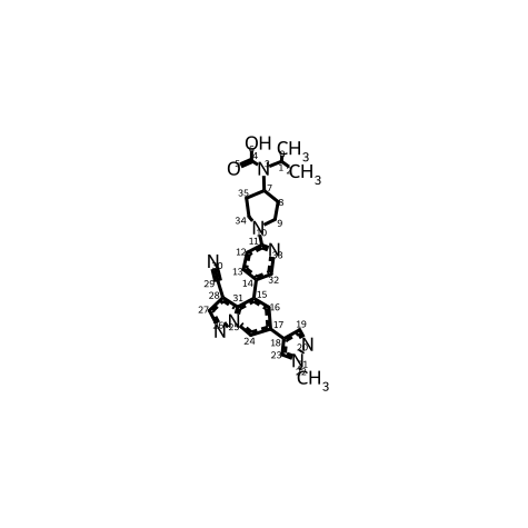 CC(C)N(C(=O)O)C1CCN(c2ccc(-c3cc(-c4cnn(C)c4)cn4ncc(C#N)c34)cn2)CC1